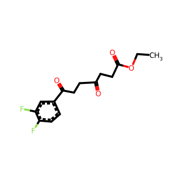 CCOC(=O)CCC(=O)CCC(=O)c1ccc(F)c(F)c1